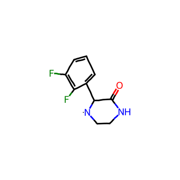 O=C1NCC[N]C1c1cccc(F)c1F